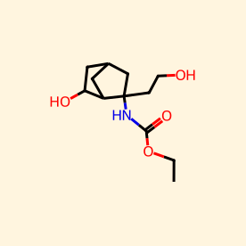 CCOC(=O)NC1(CCO)CC2CC(O)C1C2